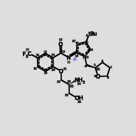 CC(C)(C)c1cn(C[C@H]2CCCO2)/c(=N/C(=O)c2cc(C(F)(F)F)ccc2OC[C@H](N)CO)s1